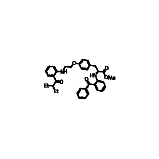 CCC(CC)C(=O)c1ccccc1NCCOc1ccc(CC(Nc2ccccc2C(=O)c2ccccc2)C(=O)OC)cc1